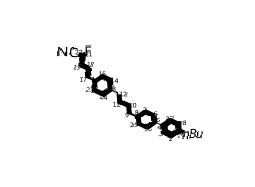 CCCCc1ccc([C@H]2CC[C@H](CCCC[C@H]3CC[C@H](C=CC=C(F)C#N)CC3)CC2)cc1